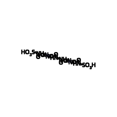 O=C(NCCNC(=O)c1ccc(/N=N/c2ccc(C(=O)NCCS(=O)(=O)O)cc2)cc1)c1ccc(/N=N/c2ccc(C(=O)NCCS(=O)(=O)O)cc2)cc1